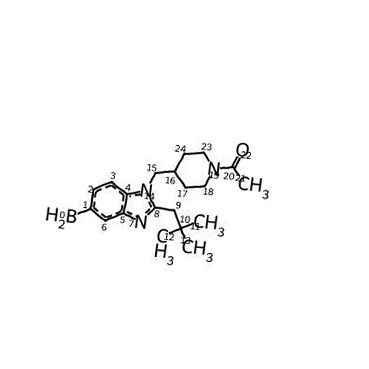 Bc1ccc2c(c1)nc(CC(C)(C)C)n2CC1CCN(C(C)=O)CC1